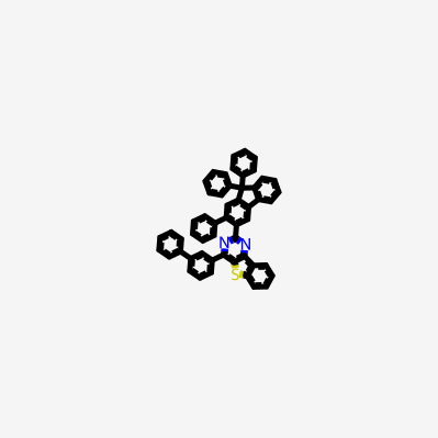 c1ccc(-c2cccc(-c3nc(-c4cc5c(cc4-c4ccccc4)C(c4ccccc4)(c4ccccc4)c4ccccc4-5)nc4c3sc3ccccc34)c2)cc1